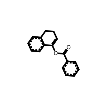 O=C(OC1=CCCc2ccccc21)c1ccccc1